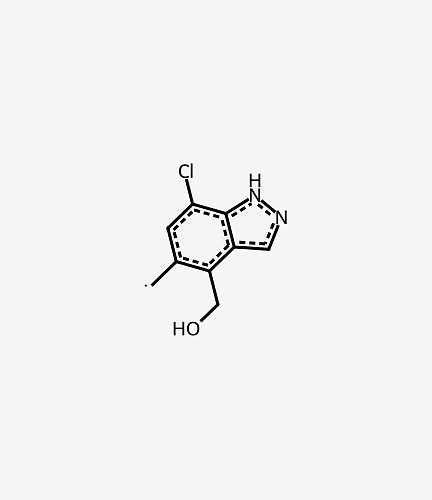 [CH2]c1cc(Cl)c2[nH]ncc2c1CO